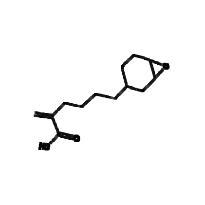 C=C(CCCCC1CCC2OC2C1)C(=O)O